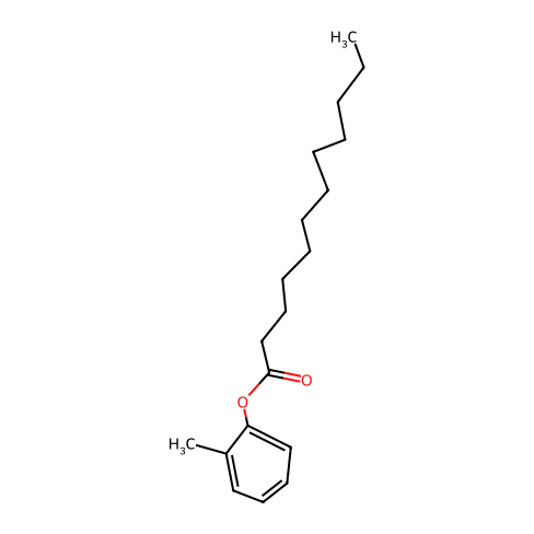 CCCCCCCCCCCC(=O)Oc1ccccc1C